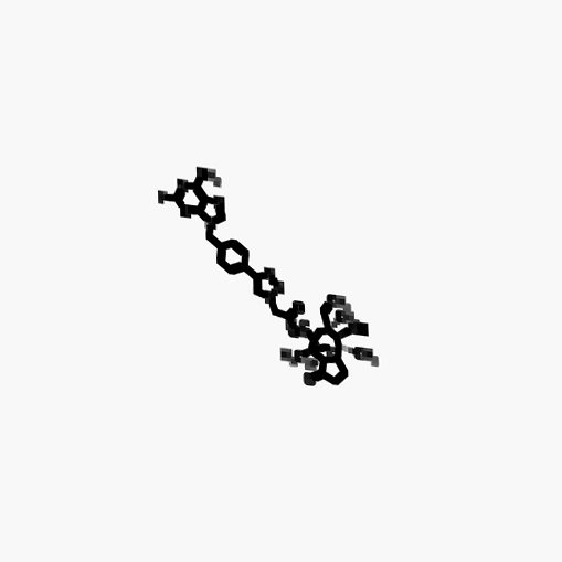 C=C[C@]1(C)C[C@@H](OC(=O)Cn2cc(-c3ccc(Cn4cnc5c(N)nc(F)nc54)cc3)nn2)[C@]2(C)[C@H](C)CC[C@]3(CCC(=O)[C@H]32)[C@@H](C)[C@@H]1O